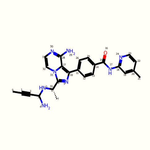 CC#CC(N)N[C@@H](C)c1nc(-c2ccc(C(=O)Nc3cc(C)ccn3)cc2)c2c(N)nccn12